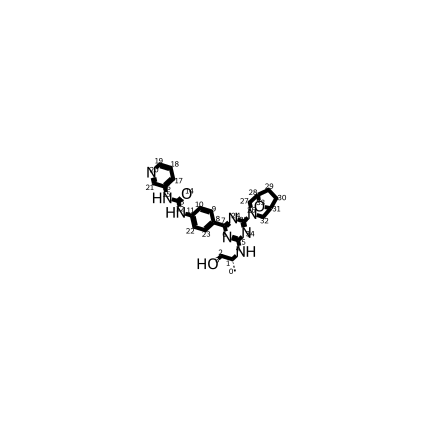 C[C@H](CO)Nc1nc(-c2ccc(NC(=O)Nc3cccnc3)cc2)nc(N2CC3CCC(C2)O3)n1